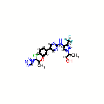 CC(Cn1cnnn1)Oc1cc(-c2cnc(Nc3cn(C(C)CO)nc3C(F)(F)F)nc2)ccc1Cl